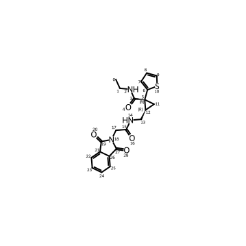 CCNC(=O)[C@@]1(c2cccs2)C[C@H]1CNC(=O)CN1C(=O)c2ccccc2C1=O